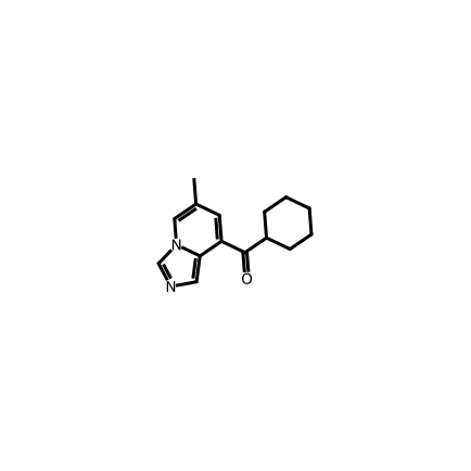 Cc1cc(C(=O)C2CCCCC2)c2cncn2c1